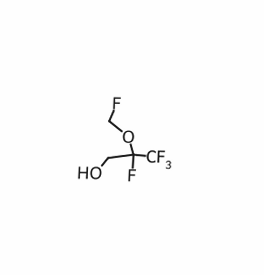 OCC(F)(OCF)C(F)(F)F